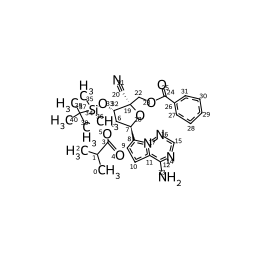 CC(C)C(=O)O[C@H]1[C@H](c2ccc3c(N)ncnn23)O[C@](C#N)(COC(=O)c2ccccc2)[C@H]1O[Si](C)(C)C(C)(C)C